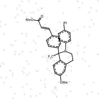 COC(=O)/C=C/c1ccc(C2(C(F)(F)F)c3ccc(OC)cc3CCN2c2ccc(C(C)C)cc2)cc1